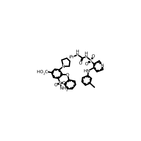 Cc1cccc(Nc2ccncc2S(=O)(=O)NC(=O)NC(C)C)c1.NS(=O)(=O)c1cc(C(=O)O)cc(N2CCCC2)c1Oc1ccccc1